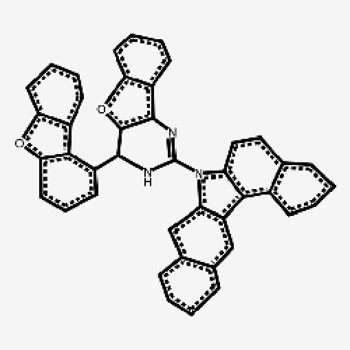 c1ccc2cc3c(cc2c1)c1c2ccccc2ccc1n3C1=Nc2c(oc3ccccc23)C(c2cccc3oc4ccccc4c23)N1